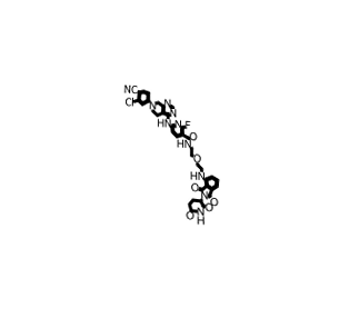 N#Cc1ccc(N2CCc3c(ncnc3Nc3ccc(C(=O)NCCOCCNc4cccc5c4C(=O)N(C4CCC(=O)NC4=O)C5=O)c(F)n3)C2)cc1Cl